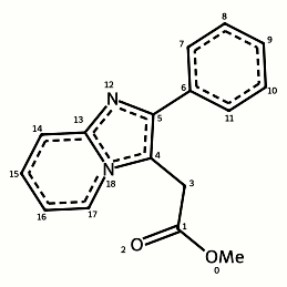 COC(=O)Cc1c(-c2ccccc2)nc2ccccn12